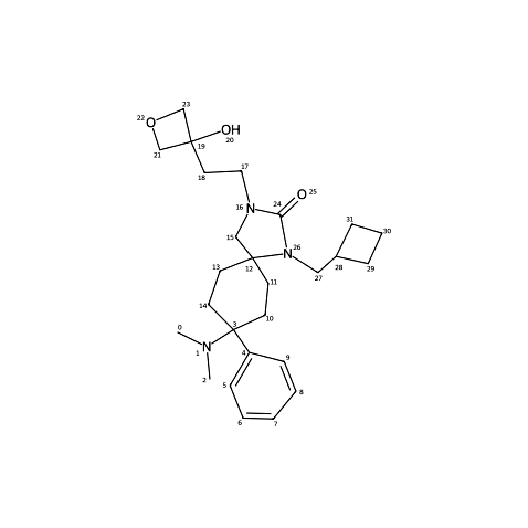 CN(C)C1(c2ccccc2)CCC2(CC1)CN(CCC1(O)COC1)C(=O)N2CC1CCC1